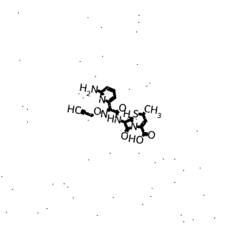 C#CCON=C(C(=O)NC1C(=O)N2C(C(=O)O)=CC(C)S[C@@H]12)c1cccc(N)n1